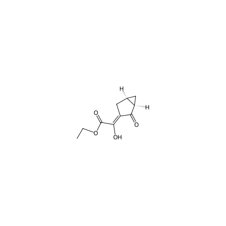 CCOC(=O)/C(O)=C1\C[C@H]2C[C@H]2C1=O